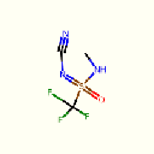 CNS(=O)(=NC#N)C(F)(F)F